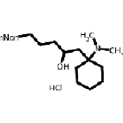 CCCCCCCCCCCCC(O)CC1(N(C)C)CCCCC1.Cl